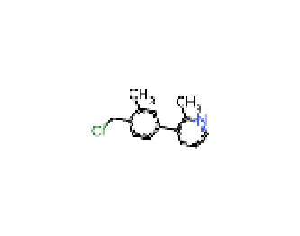 Cc1cc(-c2cccnc2C)ccc1CCl